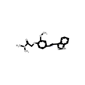 COc1cc(/C=C/c2n[nH]c3ccccc23)ccc1OCC(=O)N(C)C